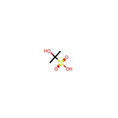 [CH2]C(C)(O)S(=O)(=O)O